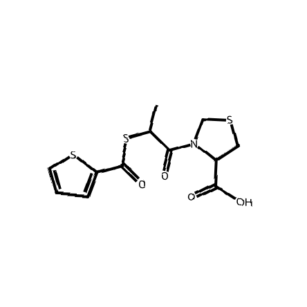 CC(SC(=O)c1cccs1)C(=O)N1CSCC1C(=O)O